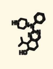 CC(C)C1C(O)=CCc2cnc(N(c3ccccc3)N3CCNCC3)nc21